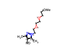 COCCOCCOCCn1nc(C)c(N=O)c1C